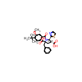 COc1cc(C(=O)N2[C@@H](c3nccs3)[C@H](C(=O)O)CC2(Cc2ccccc2)C(=O)O)ccc1C(C)(C)C